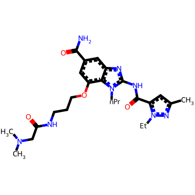 CCCn1c(NC(=O)c2cc(C)nn2CC)nc2cc(C(N)=O)cc(OCCCNC(=O)CN(C)C)c21